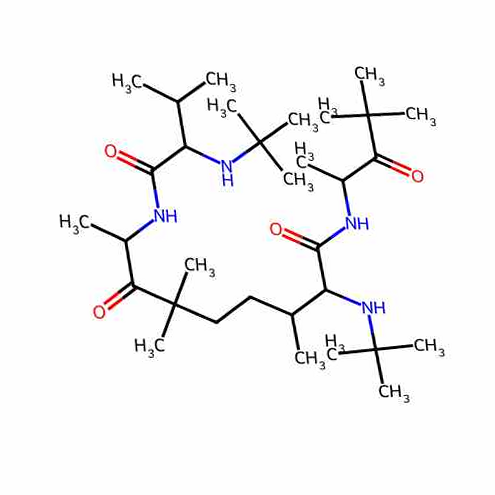 CC(NC(=O)C(NC(C)(C)C)C(C)CCC(C)(C)C(=O)C(C)NC(=O)C(NC(C)(C)C)C(C)C)C(=O)C(C)(C)C